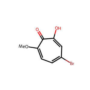 COc1ccc(Br)cc(O)c1=O